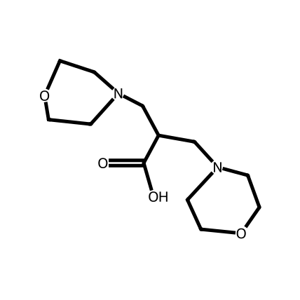 O=C(O)C(CN1CCOCC1)CN1CCOCC1